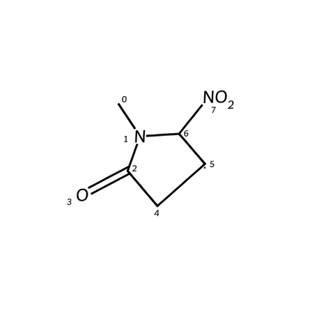 CN1C(=O)C[CH]C1[N+](=O)[O-]